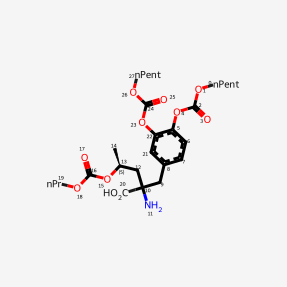 CCCCCOC(=O)Oc1ccc(CC(N)(C[C@H](C)OC(=O)OCCC)C(=O)O)cc1OC(=O)OCCCCC